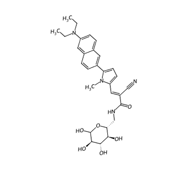 CCN(CC)c1ccc2cc(-c3ccc(/C=C(\C#N)C(=O)NC[C@H]4OC(O)[C@H](O)[C@@H](O)[C@@H]4O)n3C)ccc2c1